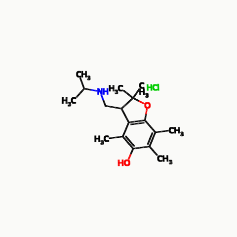 Cc1c(C)c2c(c(C)c1O)C(CNC(C)C)C(C)(C)O2.Cl